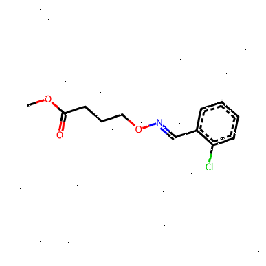 COC(=O)CCCON=Cc1c[c]ccc1Cl